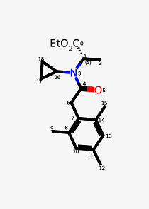 CCOC(=O)[C@H](C)N(C(=O)Cc1c(C)cc(C)cc1C)C1CC1